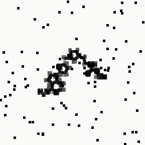 CC(C)(C)OC(=O)NCCC1CCN(C[C@@H]2CC[C@H](n3ccc4c(N)ncnc43)O2)C1